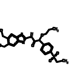 CCCOC(C(=O)Nc1nc2cc(CO)c(CO)cc2s1)c1ccc(S(=O)(=O)CC)cc1